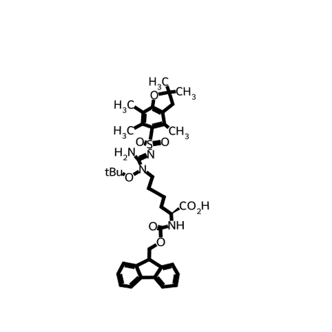 Cc1c(C)c(S(=O)(=O)N=C(N)N(CCCC[C@H](NC(=O)OCC2c3ccccc3-c3ccccc32)C(=O)O)OC(C)(C)C)c(C)c2c1OC(C)(C)C2